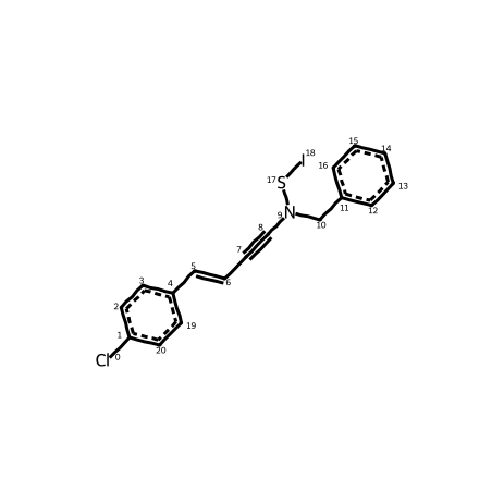 Clc1ccc(/C=C/C#CN(Cc2ccccc2)SI)cc1